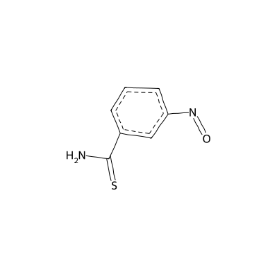 NC(=S)c1cccc(N=O)c1